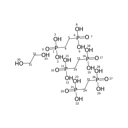 O=P(O)(O)CCP(=O)(O)O.O=P(O)(O)CCP(=O)(O)O.O=P(O)(O)CCP(=O)(O)O.OCCO